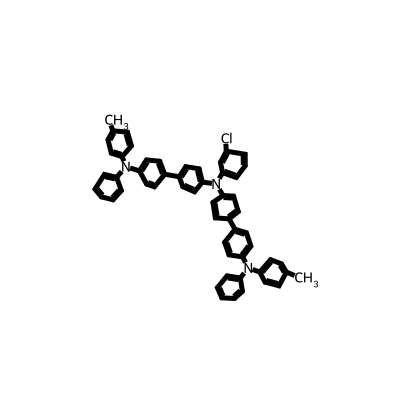 Cc1ccc(N(c2ccccc2)c2ccc(-c3ccc(N(c4ccc(-c5ccc(N(c6ccccc6)c6ccc(C)cc6)cc5)cc4)c4cccc(Cl)c4)cc3)cc2)cc1